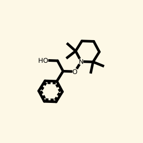 CC1(C)CCCC(C)(C)N1OC(CO)c1ccccc1